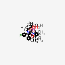 [2H]C([2H])(C(=O)O)[C@]([2H])(O)C[C@H](O)C(C)Cn1c(-c2ccc(F)cc2)c(-c2cccc(C)c2C)c(C(=O)Nc2ccc(C)c(C)c2)c1C(C)CC